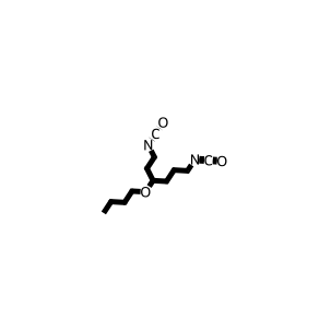 CCCCOC(CCCN=C=O)CCN=C=O